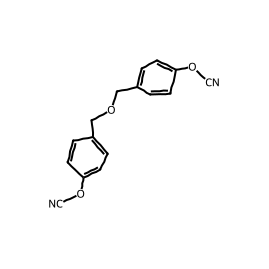 N#COc1ccc(COCc2ccc(OC#N)cc2)cc1